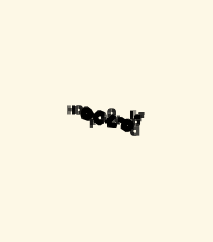 O=C1C(N2CC[C@H](c3ccc(O)cc3)[C@@H](F)C2)CCN1Cc1ccc(Cl)c(OC(F)F)c1